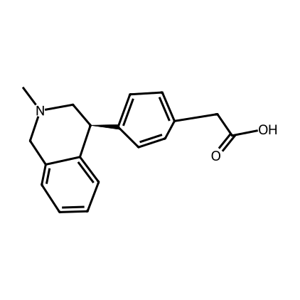 CN1Cc2ccccc2[C@H](c2ccc(CC(=O)O)cc2)C1